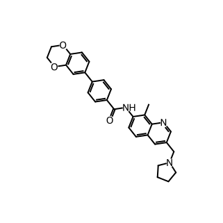 Cc1c(NC(=O)c2ccc(-c3ccc4c(c3)OCCO4)cc2)ccc2cc(CN3CCCC3)cnc12